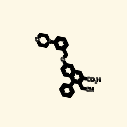 O=C(O)c1cc2cc(OCc3cccc(N4CCOCC4)c3)ccc2c(-c2ccccc2)c1CO